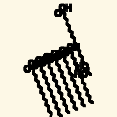 CC(O)CO.CCCCCCCCCCCCCCCCCC(=O)O.CCCCCCCCCCCCCCCCCC(=O)O.CCCCCCCCCCCCCCCCCC(=O)O.CCCCCCCCCCCCCCCCCC(=O)O.CCCCCCCCCCCCCCCCCC(=O)O.CCCCCCCCCCCCCCCCCC(=O)O.CCCCCCCCCCCCCCCCCC(=O)O